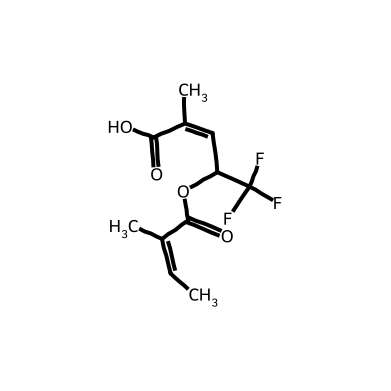 CC=C(C)C(=O)OC(C=C(C)C(=O)O)C(F)(F)F